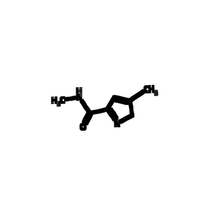 CNC(=O)C1=NCC(C)=C1